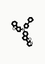 c1ccc(-c2ccc(N(c3ccc4c(ccc5c6cccnc6oc45)c3)c3ccc4oc5ccccc5c4c3)cc2)cc1